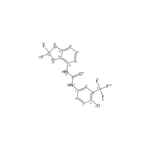 O=C(Nc1ccc(Cl)c(C(F)(F)F)c1)Nc1cccc2c1OC(F)(F)O2